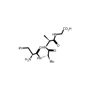 CC[C@H](C)[C@H](NC(=O)[C@@H](N)CC(C)C)C(=O)N[C@@H](C)C(=O)NCC(=O)O